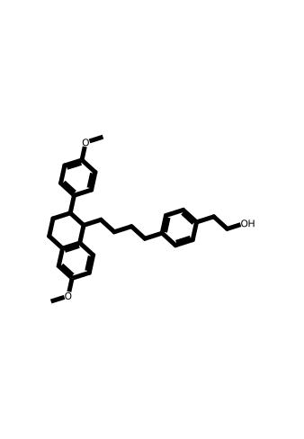 COc1ccc(C2CCc3cc(OC)ccc3C2CCCCc2ccc(CCO)cc2)cc1